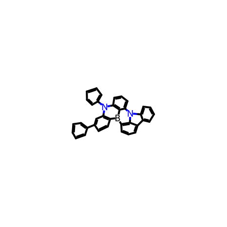 c1ccc(-c2ccc3c(c2)N(c2ccccc2)c2cccc4c2B3c2cccc3c5ccccc5n-4c23)cc1